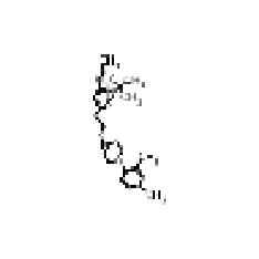 CCCc1cc(CCCN2CCN(c3ccc(C)cc3C)CC2)nn1C(C)(C)C